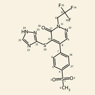 CS(=O)(=O)c1ccc(-c2cnn(CC(F)(F)F)c(=O)c2Sc2nc[nH]n2)cc1